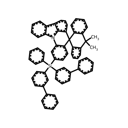 CC1(C)c2ccccc2C2(c3ccc([Si](c4ccccc4)(c4cccc(-c5ccccc5)c4)c4cccc(-c5ccccc5)c4)cc3-n3c4ccccc4c4cccc2c43)c2ccccc21